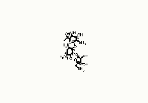 C[C@@H](O)C1O[C@H](O[C@@H]2C(N)C[C@@H](N)C(O)[C@H]2O[C@@H]2O[C@H](CN)[C@H](O)C2O)C(N)[C@@H](O)[C@@H]1O